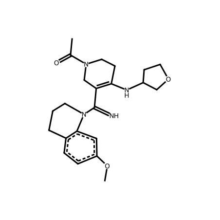 COc1ccc2c(c1)N(C(=N)C1=C(NC3CCOC3)CCN(C(C)=O)C1)CCC2